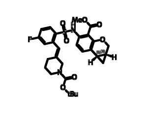 COC(=O)c1c(NS(=O)(=O)c2ccc(F)cc2C=C2CCCN(C(=O)OC(C)(C)C)C2)ccc2c1OC[C@@H]1C[C@H]21